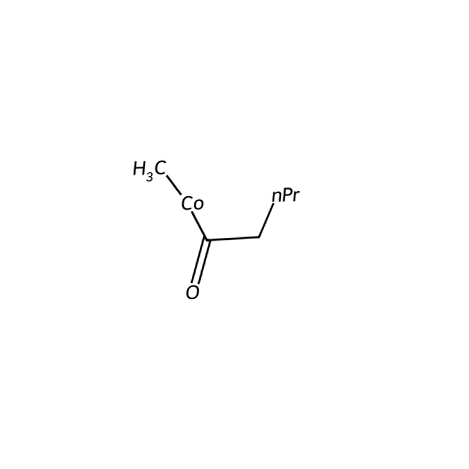 CCCC[C](=O)[Co][CH3]